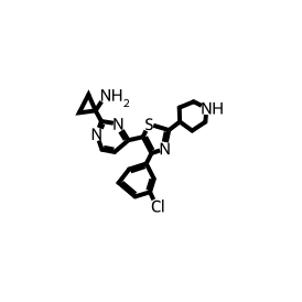 NC1(c2nccc(-c3sc(C4CCNCC4)nc3-c3cccc(Cl)c3)n2)CC1